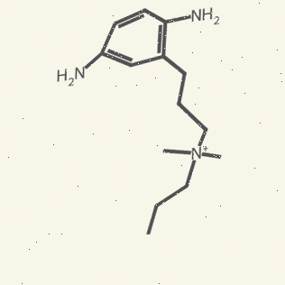 CCC[N+](C)(C)CCCc1cc(N)ccc1N